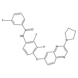 O=C(Nc1ccc(Oc2ccc3ncc(N4CCCC4)nc3c2)c(F)c1F)c1cccc(F)c1